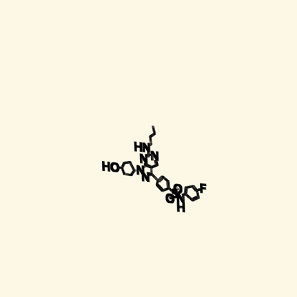 CCCCNc1ncc2c(-c3ccc(S(=O)(=O)Nc4ccc(F)cc4)cc3)nn([C@H]3CC[C@H](O)CC3)c2n1